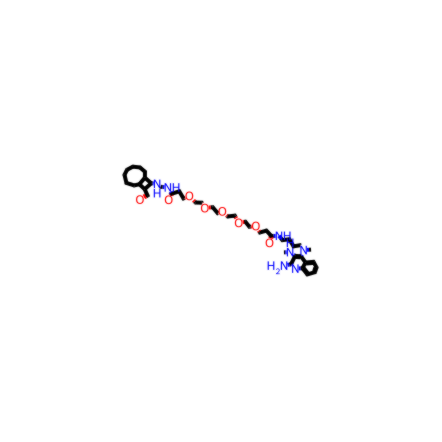 CNc1c(N)nc2ccccc2c1N(C)CCCCNC(=O)CCOCCOCCOCCOCCOCCC(=O)NCNC1C(C=O)C2CCCCCCCC21